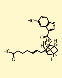 CC1(C)[C@H]2C[C@H](CC=CCCCC(=O)O)[C@@H](NC(=O)c3csc4ccc(O)cc34)[C@@H]1C2